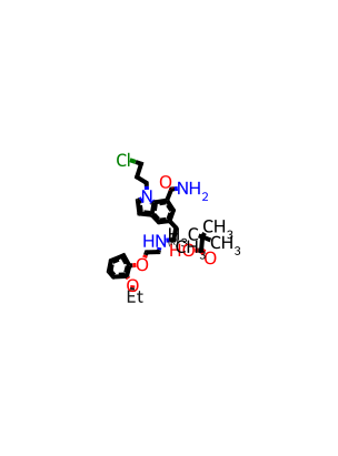 CC(C)(C)C(=O)O.CCOc1ccccc1OCCN[C@H](C)Cc1cc(C(N)=O)c2c(ccn2CCCCl)c1